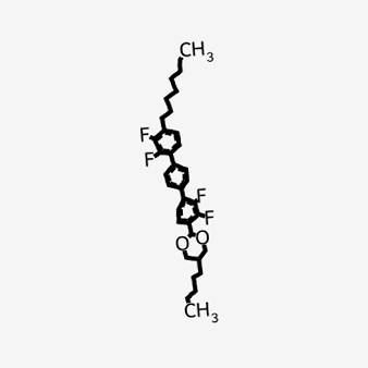 CCCCCCCCc1ccc(-c2ccc(-c3ccc(C4OCC(CCCCC)CO4)c(F)c3F)cc2)c(F)c1F